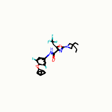 CCC1(CC)CN(c2nc(C(=O)Nc3cc(F)c(OC4CC5C6C4C56)c(F)c3)c(CC(F)(F)F)o2)C1